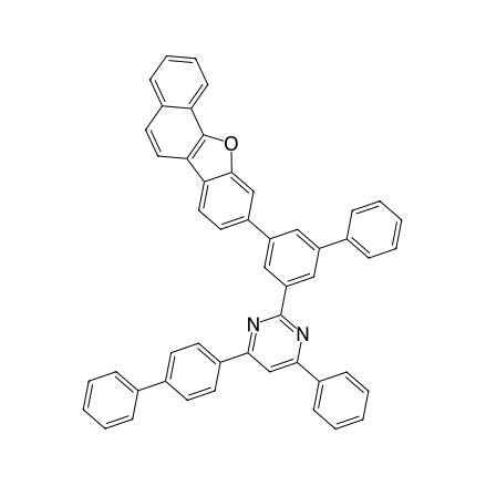 c1ccc(-c2ccc(-c3cc(-c4ccccc4)nc(-c4cc(-c5ccccc5)cc(-c5ccc6c(c5)oc5c7ccccc7ccc65)c4)n3)cc2)cc1